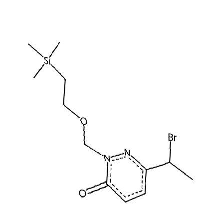 CC(Br)c1ccc(=O)n(COCC[Si](C)(C)C)n1